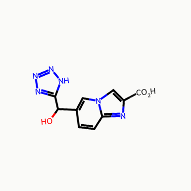 O=C(O)c1cn2cc(C(O)c3nnn[nH]3)ccc2n1